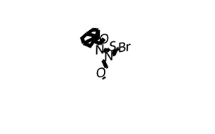 COCCn1cc(Br)s/c1=N\C(=O)C12CC3CC(CC(C3)C1)C2